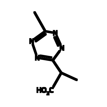 Cc1nnc(C(C)C(=O)O)nn1